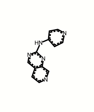 c1cc(Nc2ncc3ccncc3n2)ccn1